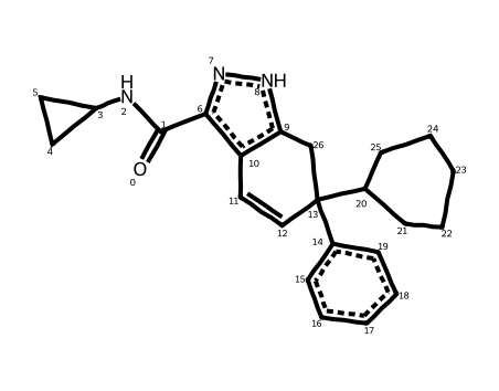 O=C(NC1CC1)c1n[nH]c2c1C=CC(c1ccccc1)(C1CCCCC1)C2